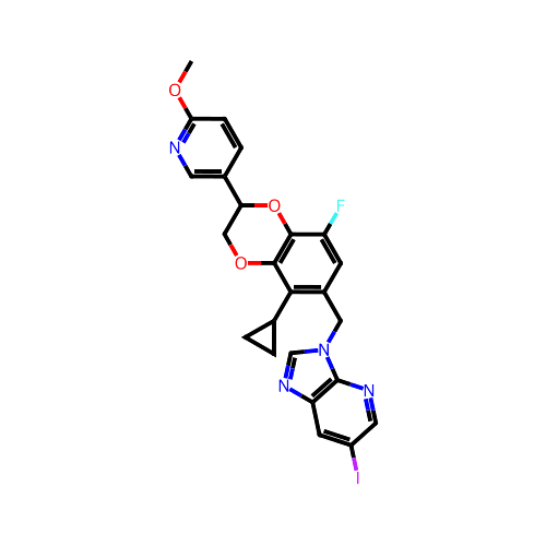 COc1ccc(C2COc3c(c(F)cc(Cn4cnc5cc(I)cnc54)c3C3CC3)O2)cn1